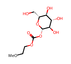 COCCOC(=O)O[C@@H]1O[C@H](CO)[C@@H](O)[C@H](O)[C@H]1O